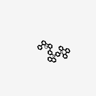 c1ccc(-c2cccc3c2oc2c(-c4cccc(N(c5ccc(N6c7ccccc7-c7ccccc7-c7ccccc76)cc5)c5cccc6ccccc56)c4)cccc23)cc1